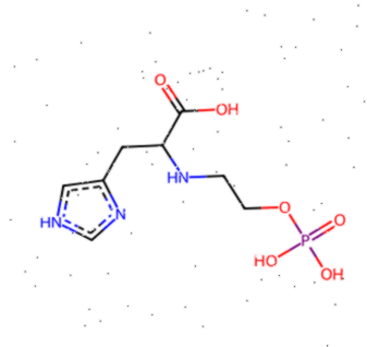 O=C(O)C(Cc1c[nH]cn1)NCCOP(=O)(O)O